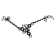 CCOC(=O)CCCCCCCCCCOc1ccc(-c2nc(-c3ccc(Cl)cc3)nc(-c3ccc(COCCCCCCCCCC(=O)OCC)cc3O)n2)c(O)c1